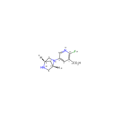 O=C(O)c1cc(N2C[C@@H]3C[C@H]2CN3)cnc1F